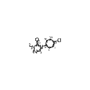 Cn1ncn(-c2ccc(Cl)cc2)c1=O